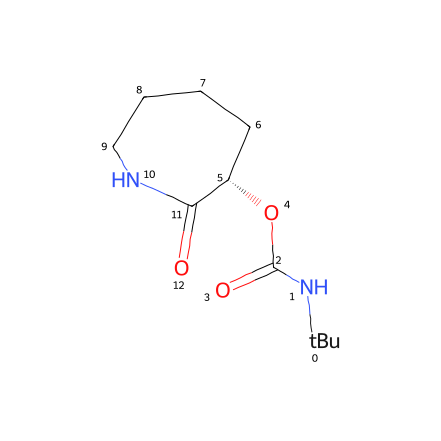 CC(C)(C)NC(=O)O[C@H]1CCCCNC1=O